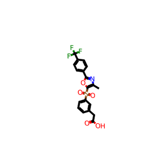 Cc1nc(-c2ccc(C(F)(F)F)cc2)oc1S(=O)(=O)c1cccc(CC(=O)O)c1